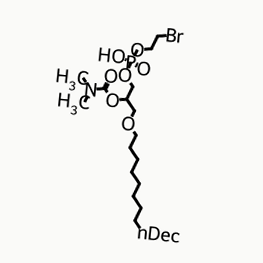 CCCCCCCCCCCCCCCCCCOCC(COP(=O)(O)OCCBr)OC(=O)N(C)C